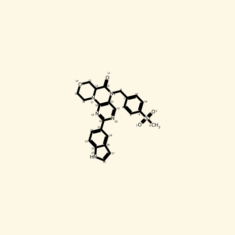 CS(=O)(=O)c1ccc(CN2C(=O)C3COCCN3c3nc(-c4ccc5[nH]ccc5c4)ncc32)cc1